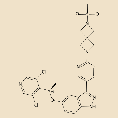 C[C@@H](Oc1ccc2[nH]nc(-c3ccc(N4CC5(C4)CN(S(C)(=O)=O)C5)nc3)c2c1)c1c(Cl)cncc1Cl